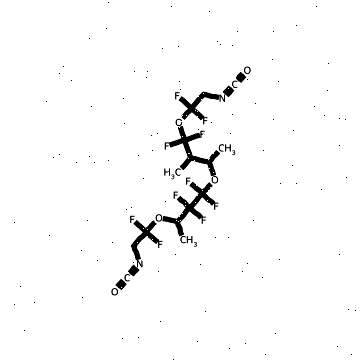 CC(OC(F)(F)C(F)(F)C(C)OC(F)(F)CN=C=O)C(C)C(F)(F)OC(F)(F)CN=C=O